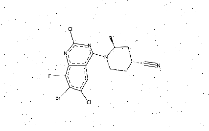 C[C@H]1C[C@H](C#N)CCN1c1nc(Cl)nc2c(F)c(Br)c(Cl)cc12